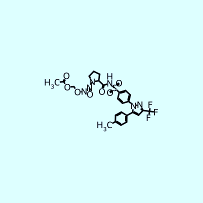 CC(=O)OCOn1on1N1CCCC1C(=O)NS(=O)(=O)c1ccc(-n2nc(C(F)(F)F)cc2-c2ccc(C)cc2)cc1